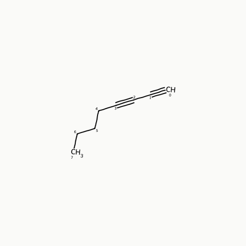 C#CC#CCCCC